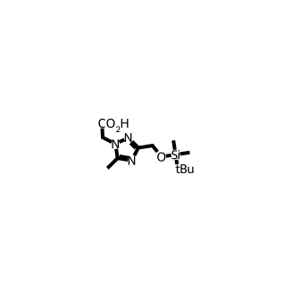 Cc1nc(CO[Si](C)(C)C(C)(C)C)nn1CC(=O)O